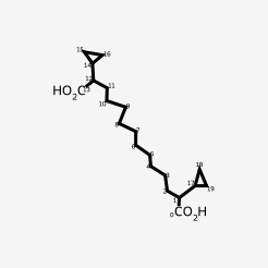 O=C(O)C(CCCCCCCCCCC(C(=O)O)C1CC1)C1CC1